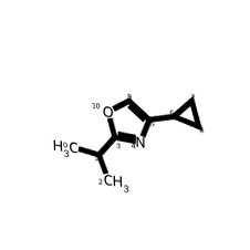 CC(C)c1nc(C2CC2)co1